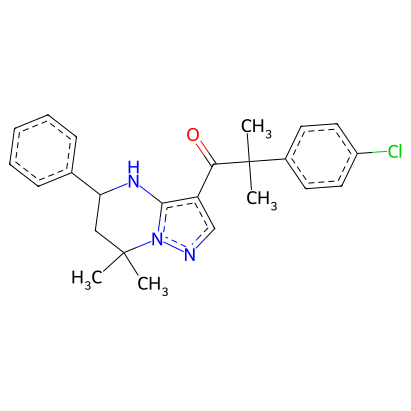 CC(C)(C(=O)c1cnn2c1NC(c1ccccc1)CC2(C)C)c1ccc(Cl)cc1